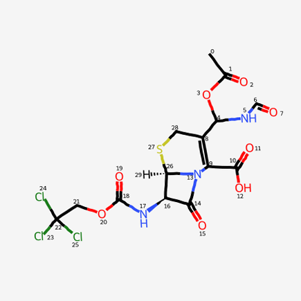 CC(=O)OC(NC=O)C1=C(C(=O)O)N2C(=O)[C@@H](NC(=O)OCC(Cl)(Cl)Cl)[C@H]2SC1